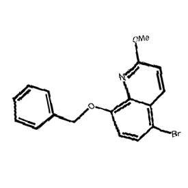 COc1ccc2c(Br)ccc(OCc3ccccc3)c2n1